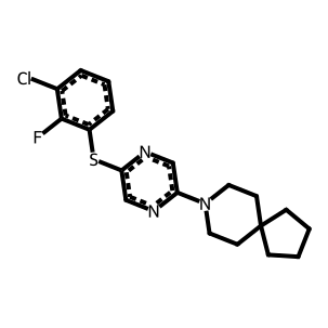 Fc1c(Cl)cccc1Sc1cnc(N2CCC3(CCCC3)CC2)cn1